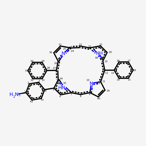 Nc1ccc(-c2cc3cc4nc(c(-c5ccccc5)c5ccc(cc6nc(c(-c7ccccc7)c2[nH]3)C=C6)[nH]5)C=C4)cc1